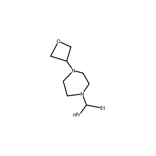 CCCC(CC)N1CCN(C2COC2)CC1